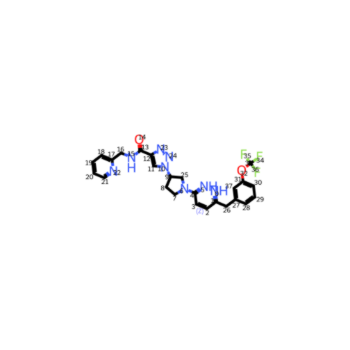 N=C(/C=C\C(=N)N1CCC(n2cc(C(=O)NCc3ccccn3)nn2)C1)Cc1cccc(OC(F)(F)F)c1